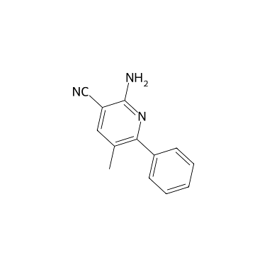 Cc1cc(C#N)c(N)nc1-c1ccccc1